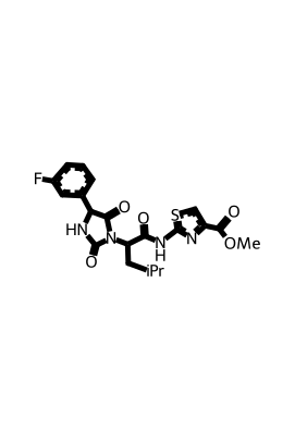 COC(=O)c1csc(NC(=O)C(CC(C)C)N2C(=O)NC(c3cccc(F)c3)C2=O)n1